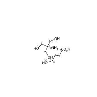 NC(CO)(CO)CO.O=C(O)CCCO